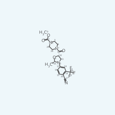 COC(=O)N1CCN(C(=O)[C@@H]2CN(c3ccc(C#N)c(C(F)(F)F)c3)[C@@H](C)O2)CC1